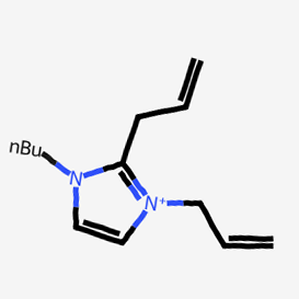 C=CCc1n(CCCC)cc[n+]1CC=C